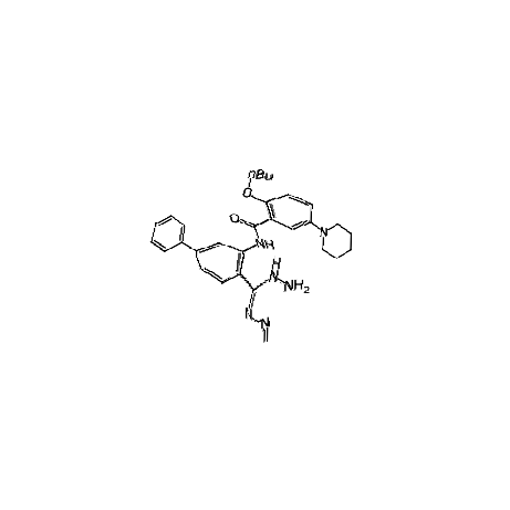 C=N/N=C(\NN)c1ccc(-c2ccccc2)cc1NC(=O)c1cc(N2CCCCC2)ccc1OCCCC